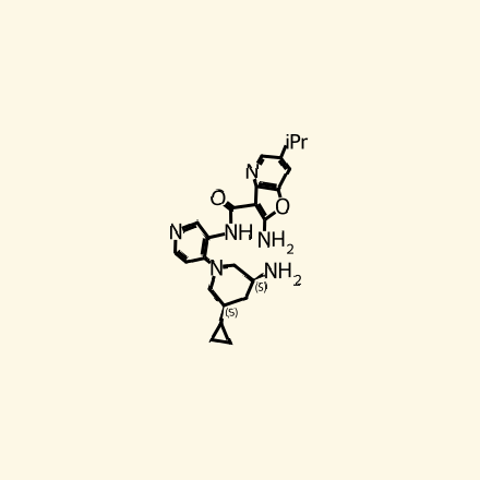 CC(C)c1cnc2c(C(=O)Nc3cnccc3N3C[C@@H](N)C[C@@H](C4CC4)C3)c(N)oc2c1